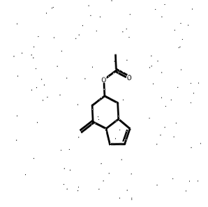 C=C1CC(OC(C)=O)CC2C=CCC12